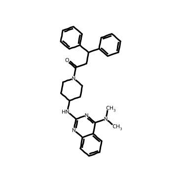 CN(C)c1nc(NC2CCN(C(=O)CC(c3ccccc3)c3ccccc3)CC2)nc2ccccc12